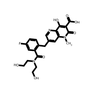 Cn1c(=O)c(C(=O)O)c(O)c2ncc(Cc3ccc(F)cc3C(=O)N(CCO)CCO)cc21